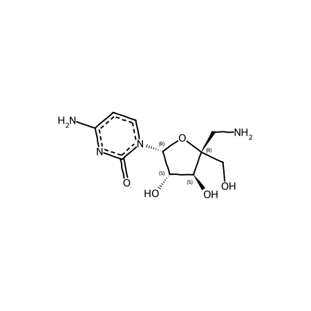 NC[C@]1(CO)O[C@@H](n2ccc(N)nc2=O)[C@@H](O)[C@@H]1O